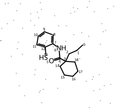 CCCC1(C(=O)Nc2ccccc2S)CCCCC1